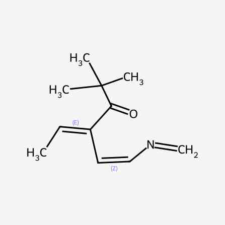 C=N/C=C\C(=C/C)C(=O)C(C)(C)C